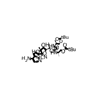 C[C@@H](COC(=O)C(C)(C)C)NP(=O)(N[C@@H](C)COC(=O)C(C)(C)C)OC[C@H]1O[C@@](C#N)(c2ccc3c(N)ccnn23)[C@](C)(O)[C@@H]1O